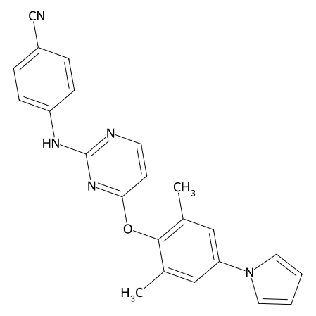 Cc1cc(-n2cccc2)cc(C)c1Oc1ccnc(Nc2ccc(C#N)cc2)n1